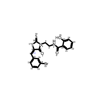 O=C(NCCN1C(=O)/C(=C\c2cccc(Br)c2)SC1=S)c1ccccc1O